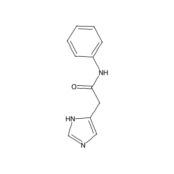 O=C(Cc1cnc[nH]1)Nc1ccccc1